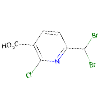 O=C(O)c1ccc(C(Br)Br)nc1Cl